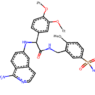 CCOc1cc(C(Nc2ccc3c(N)nccc3c2)C(=O)NCc2cc(S(N)(=O)=O)ccc2OC)ccc1OC(C)C